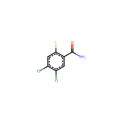 NC(=O)c1cc(Cl)c(Cl)cc1F